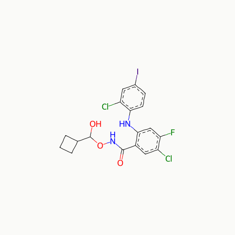 O=C(NOC(O)C1CCC1)c1cc(Cl)c(F)cc1Nc1ccc(I)cc1Cl